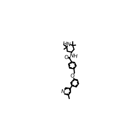 Cc1cncc(-c2cccc(OCc3ccc(C(=O)NC4CC(C)(C)NC(C)(C)C4)cc3)c2)c1